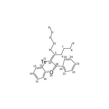 CCCCCC(CCCC)=C([Te]c1ccccc1)C(=O)c1ccccc1